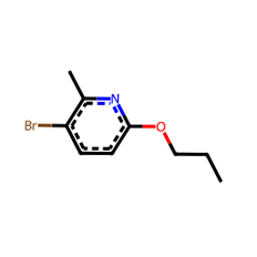 CCCOc1ccc(Br)c(C)n1